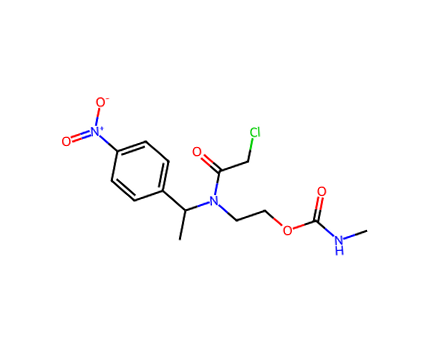 CNC(=O)OCCN(C(=O)CCl)C(C)c1ccc([N+](=O)[O-])cc1